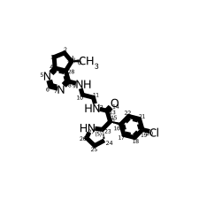 C[C@@H]1CCc2ncnc(NCCNC(=O)[C@@H](c3ccc(Cl)cc3)[C@@H]3CCCN3)c21